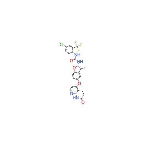 C[C@H]1c2cc(Oc3ccnc4c3CCC(=O)N4)ccc2O[C@H]1NC(=O)Nc1ccc(Cl)cc1C(F)(F)F